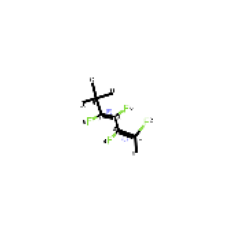 C/C(F)=C(F)/C(F)=C(\F)C(C)(C)C